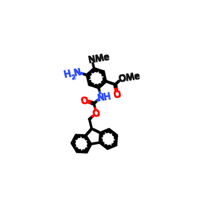 CNc1cc(C(=O)OC)c(NC(=O)OCC2c3ccccc3-c3ccccc32)cc1N